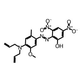 C=CCN(CC=C)c1cc(C)c(/N=N/c2c(O)cc([N+](=O)[O-])cc2[N+](=O)[O-])cc1OC